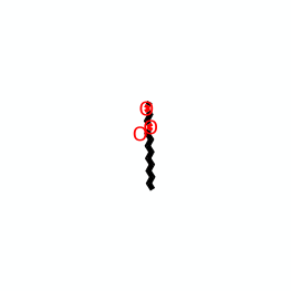 CCCCCCCCCC(=O)OCCOC